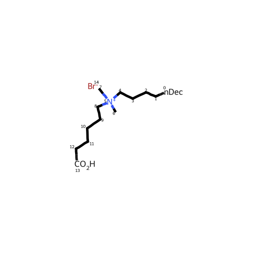 CCCCCCCCCCCCCC[N+](C)(C)CCCCCC(=O)O.[Br-]